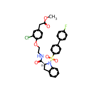 COC(=O)Cc1ccc(OCCNC(=O)[C@@H]2Cc3ccccc3N2S(=O)(=O)c2ccc(-c3ccc(F)cc3)cc2)c(Cl)c1